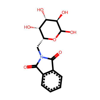 O=C1c2ccccc2C(=O)N1C[C@H]1OC(O)[C@H](O)[C@@H](O)[C@H]1O